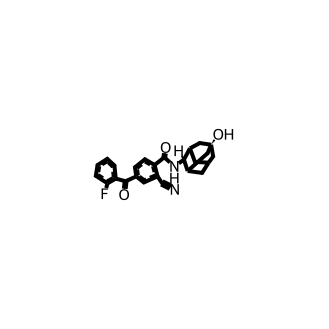 N#Cc1cc(C(=O)c2ccccc2F)ccc1C(=O)N[C@H]1C2CC3CC1C[C@](O)(C3)C2